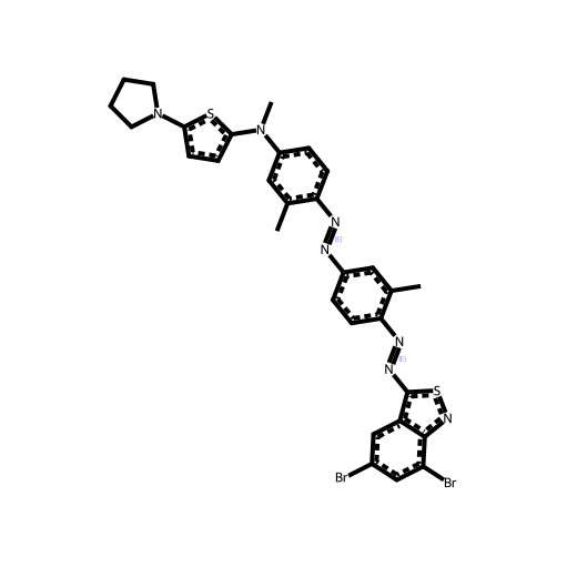 Cc1cc(N(C)c2ccc(N3CCCC3)s2)ccc1/N=N/c1ccc(/N=N/c2snc3c(Br)cc(Br)cc23)c(C)c1